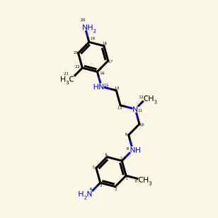 Cc1cc(N)ccc1NCCN(C)CCNc1ccc(N)cc1C